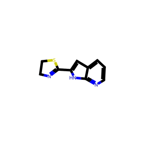 c1cnc2[nH]c(C3=NCCS3)cc2c1